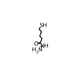 NNC(=O)CCCCS